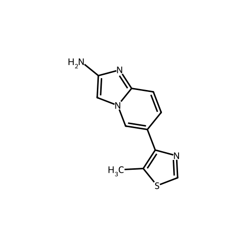 Cc1scnc1-c1ccc2nc(N)cn2c1